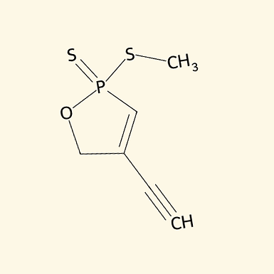 C#CC1=CP(=S)(SC)OC1